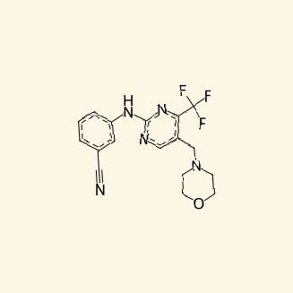 N#Cc1cccc(Nc2ncc(CN3CCOCC3)c(C(F)(F)F)n2)c1